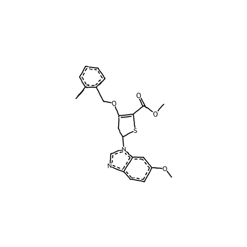 COC(=O)C1=C(OCc2ccccc2C)CC(n2cnc3ccc(OC)cc32)S1